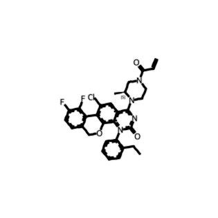 C=CC(=O)N1CCN(c2nc(=O)n(-c3ccccc3CC)c3c4c(c(Cl)cc23)-c2c(ccc(F)c2F)CO4)[C@@H](C)C1